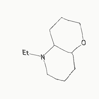 CCN1CCCC2OCCCC21